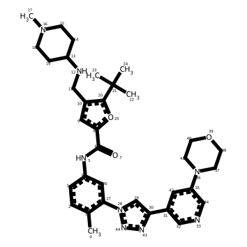 Cc1ccc(NC(=O)c2cc(CNC3CCN(C)CC3)c(C(C)(C)C)o2)cc1-n1cc(-c2cncc(N3CCOCC3)c2)nn1